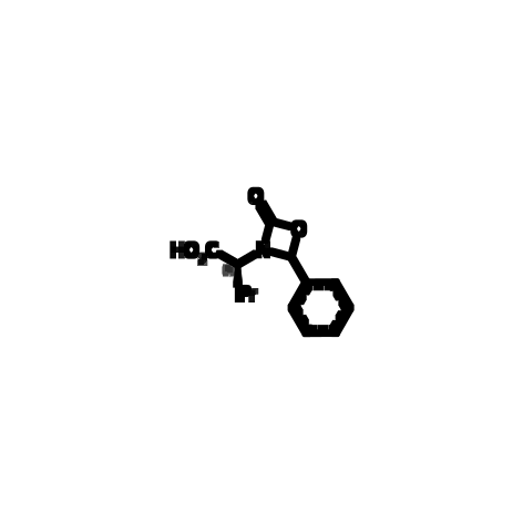 CC(C)[C@@H](C(=O)O)N1C(=O)OC1c1ccccc1